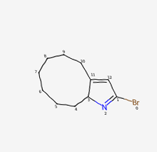 BrC1=NC2CCCCCCCC2=C1